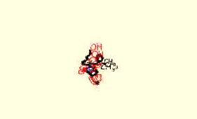 CC(C)(C)[SiH2]OC(c1ccccc1)(c1ccccc1)C1OC(CC(O)CO)CCC12CN(c1ccc3c(c1)OCCO3)C(=O)O2